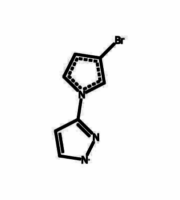 Brc1ccn(C2=N[N]C=C2)c1